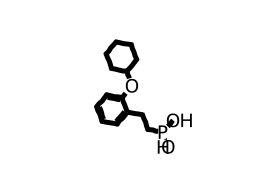 O=[PH](O)CCc1ccccc1OC1CCCCC1